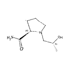 C[C@@H](O)CN1CC[CH][C@@H]1C(N)=O